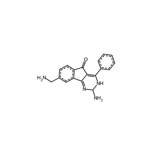 NCc1ccc2c(c1)C1=NC(N)NC(c3ccccc3)=C1C2=O